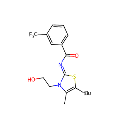 Cc1c(C(C)(C)C)s/c(=N\C(=O)c2cccc(C(F)(F)F)c2)n1CCO